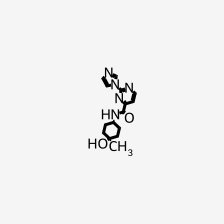 C[C@]1(O)CC[C@H](NC(=O)c2ccnc(-n3ccnc3)n2)CC1